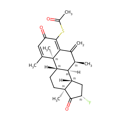 C=C1C2=C(SC(C)=O)C(=O)C=C(C)[C@]2(C)[C@H]2CC[C@]3(C)C(=O)[C@@H](F)C[C@H]3[C@@H]2[C@@H]1C